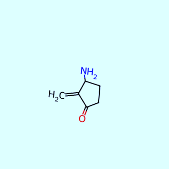 C=C1C(=O)CCC1N